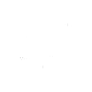 CCCCOC[C@H](OCCCC)C(=O)OC